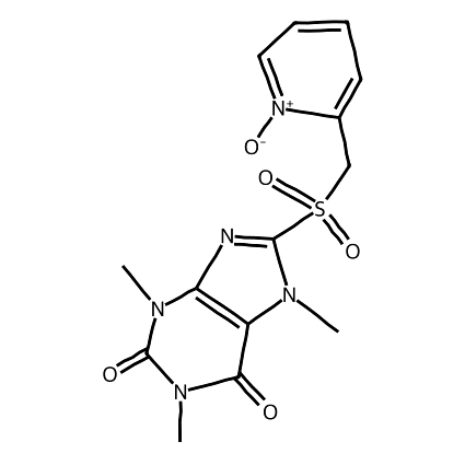 Cn1c(=O)c2c(nc(S(=O)(=O)Cc3cccc[n+]3[O-])n2C)n(C)c1=O